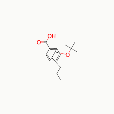 CCCC1c2ccc(c(C(=O)O)c2)C1OC(C)(C)C